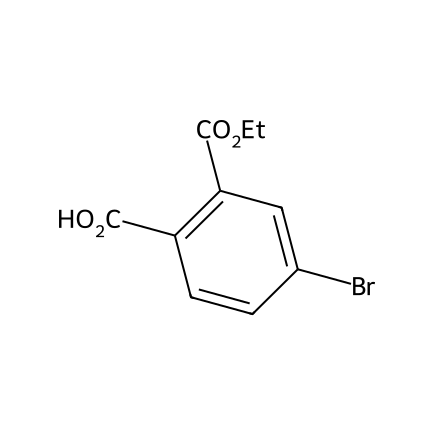 CCOC(=O)c1cc(Br)ccc1C(=O)O